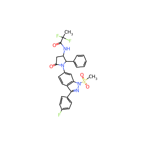 CC(F)(F)C(=O)NC1CC(=O)N(c2ccc3c(-c4ccc(F)cc4)nn(S(C)(=O)=O)c3c2)C1c1ccccc1